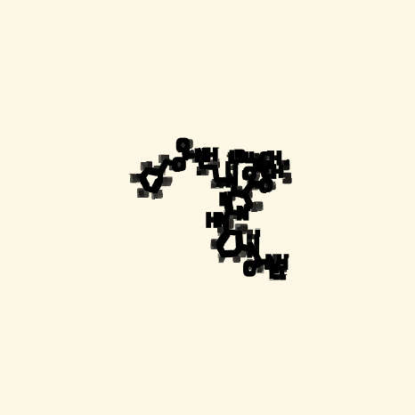 CCNC(=O)Nc1cccc(Nc2ncc(C(=O)O[Si](C)(C)C(C)(C)C)c(NCCCNC(=O)OCc3ccccc3)n2)c1